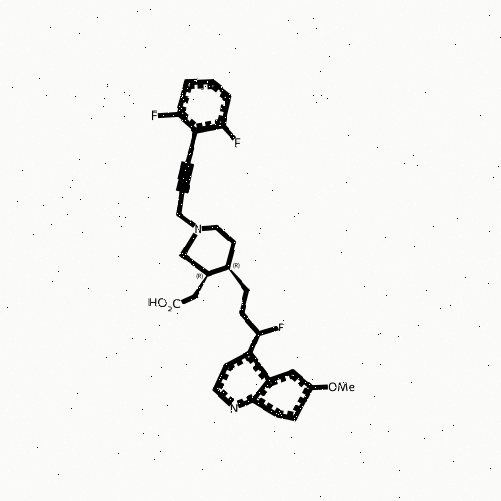 COc1ccc2nccc(C(F)CC[C@@H]3CCN(CC#Cc4c(F)cccc4F)C[C@@H]3CC(=O)O)c2c1